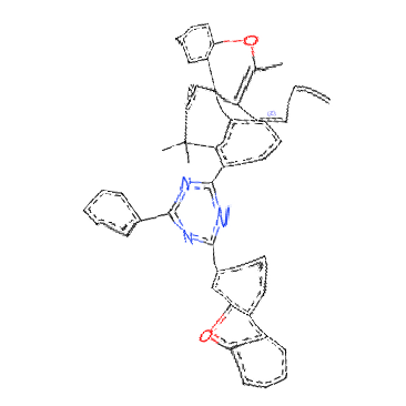 C=C/C=C\C1=C(C)Oc2ccccc2C12c1ccccc1C(C)(C)c1c(-c3nc(-c4ccccc4)nc(-c4ccc5c(c4)oc4ccccc45)n3)cccc12